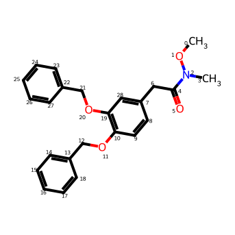 CON(C)C(=O)Cc1ccc(OCc2ccccc2)c(OCc2ccccc2)c1